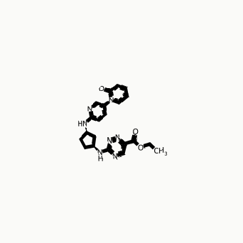 CCOC(=O)c1cnc(N[C@H]2CC[C@H](Nc3ccc(-n4ccccc4=O)cn3)C2)nn1